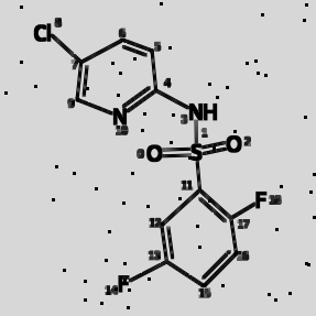 O=S(=O)(Nc1ccc(Cl)cn1)c1cc(F)ccc1F